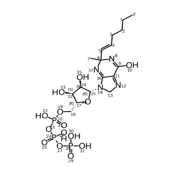 CCCCC=CC1(C)N=C(O)C2=NCN([C@@H]3O[C@H](COP(=O)(O)OP(=O)(O)OP(=O)(O)O)[C@@H](O)[C@H]3O)C2=N1